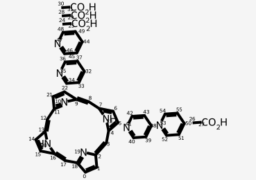 C1=Cc2cc3ccc(cc4nc(cc5ccc(cc1n2)[nH]5)C=C4)[nH]3.CC(=O)O.CC(=O)O.CC(=O)O.CC(=O)O.c1ccncc1.c1ccncc1.c1ccncc1.c1ccncc1